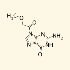 COCC(=O)n1cnc2c(=O)[nH]c(N)nc21